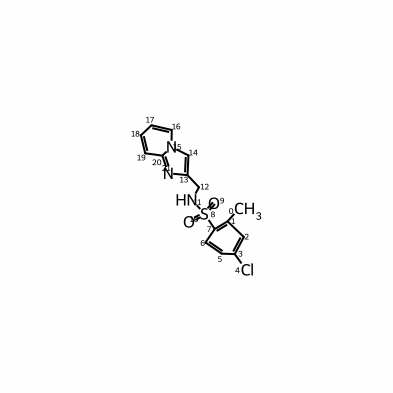 Cc1cc(Cl)ccc1S(=O)(=O)NCc1cn2ccccc2n1